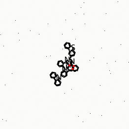 c1ccc(-c2nc(-c3ccc4sc5ccccc5c4c3)nc(-c3ccccc3-n3c4ccccc4c4ccc(-n5c6ccccc6c6ccccc65)cc43)n2)cc1